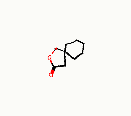 O=C1CC2(CCCCC2)C2(CCCC2)O1